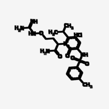 Cc1cccc(S(=O)(=O)Nc2ccc(C(C)C)n(C(CCONC(=N)N)C(N)=O)c2=O)c1.Cl